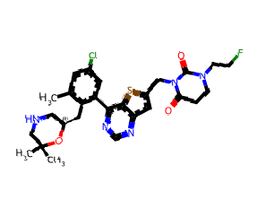 Cc1cc(Cl)cc(-c2ncnc3cc(CN4C(=O)CCN(CCF)C4=O)sc23)c1C[C@@H]1CNCC(C)(C)O1